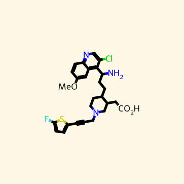 COc1ccc2ncc(Cl)c(C(N)CCC3CCN(CC#Cc4ccc(F)s4)CC3CC(=O)O)c2c1